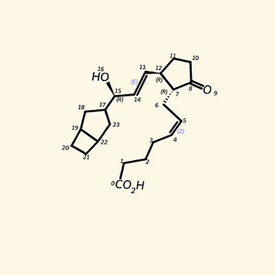 O=C(O)CCC/C=C\C[C@H]1C(=O)CC[C@@H]1/C=C/[C@H](O)C1CC2CCC2C1